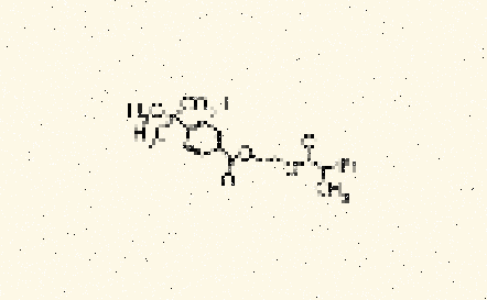 CC(C)C(C)C(=O)OCCOC(=O)c1ccc(C(C)(C)C(=O)O)cc1